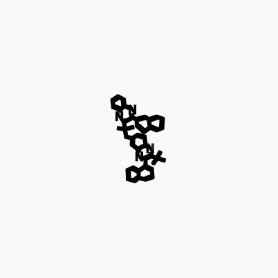 CC(C)(C)c1nc2ccc(CC(C)(C)c3nc4ccccc4nc3-c3ccc4ccccc4c3)cc2nc1-c1cccc2ccccc12